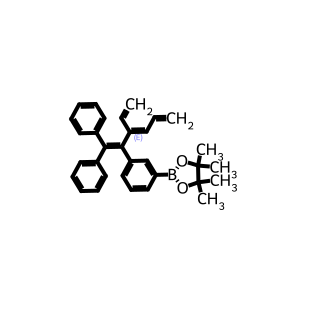 C=C/C=C(\C=C)C(=C(c1ccccc1)c1ccccc1)c1cccc(B2OC(C)(C)C(C)(C)O2)c1